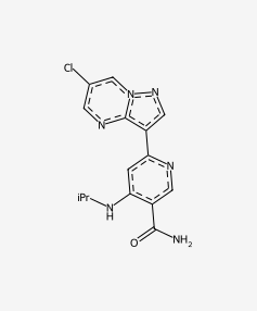 CC(C)Nc1cc(-c2cnn3cc(Cl)cnc23)ncc1C(N)=O